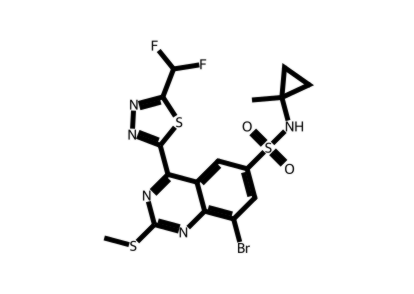 CSc1nc(-c2nnc(C(F)F)s2)c2cc(S(=O)(=O)NC3(C)CC3)cc(Br)c2n1